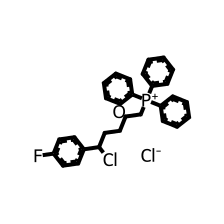 O=C(CCC(Cl)c1ccc(F)cc1)C[P+](c1ccccc1)(c1ccccc1)c1ccccc1.[Cl-]